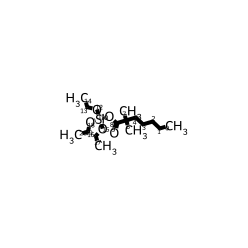 CCCCCC(C)(C)C(=O)O[Si](OCC)(OCC)OCC